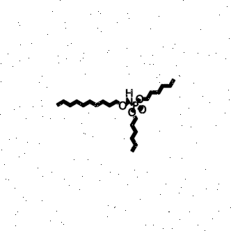 CCCCCCCCCCONP(=O)(OCCCCCC)OCCCCCC